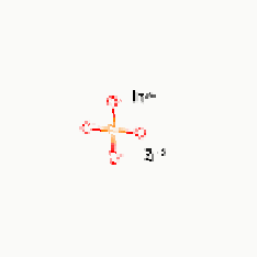 O=P([O-])([O-])[O-].[In+3].[Zn+2]